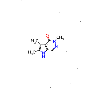 Cc1[nH]c2cnn(C)c(=O)c2c1C